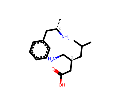 CC(C)C[C@H](CN)CC(=O)O.C[C@H](N)Cc1ccccc1